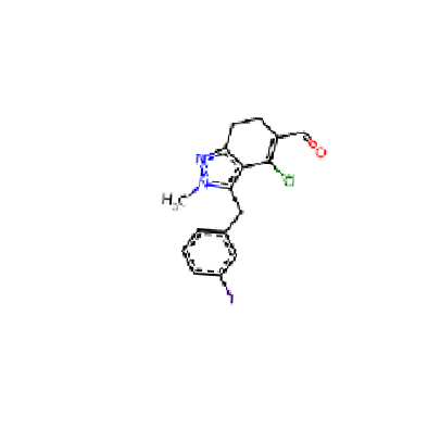 Cn1nc2c(c1Cc1cccc(I)c1)C(Cl)=C(C=O)CC2